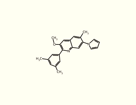 COc1cc2cc(C)c(-n3cccc3)cc2nc1-c1cc(C)cc(C)c1